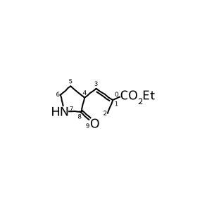 CCOC(=O)C(C)=CC1CCNC1=O